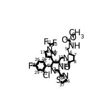 COC(=O)NC[C@H]1CCC(=O)N1CC1=C(c2ccn(C(F)F)n2)[C@H](c2ccc(F)cc2Cl)N=C(c2nccs2)N1